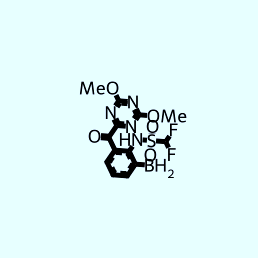 Bc1cccc(C(=O)c2nc(OC)nc(OC)n2)c1NS(=O)(=O)C(F)F